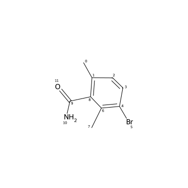 Cc1ccc(Br)c(C)c1C(N)=O